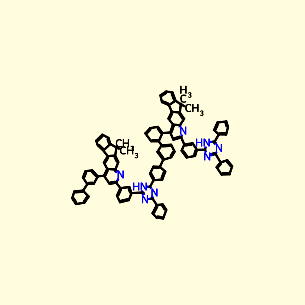 CC1(C)c2ccccc2-c2cc3c(-c4cccc(-c5ccccc5)c4)cc(-c4cccc(C5=NC(c6ccccc6)=NC(c6ccc(-c7cccc(-c8ccccc8-c8cc(-c9cccc(C%10N=C(c%11ccccc%11)N=C(c%11ccccc%11)N%10)c9)nc9cc%10c(cc89)-c8ccccc8C%10(C)C)c7)cc6)N5)c4)nc3cc21